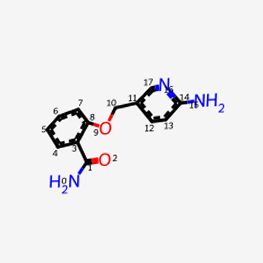 NC(=O)c1ccccc1OCc1ccc(N)nc1